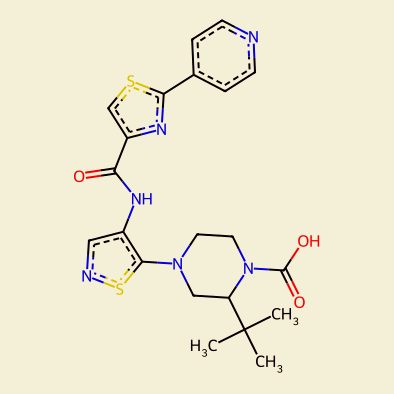 CC(C)(C)C1CN(c2sncc2NC(=O)c2csc(-c3ccncc3)n2)CCN1C(=O)O